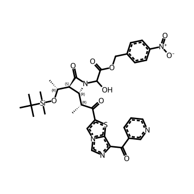 C[C@@H](O[Si](C)(C)C(C)(C)C)[C@H]1C(=O)N(C(O)C(=O)OCc2ccc([N+](=O)[O-])cc2)[C@@H]1[C@@H](C)C(=O)c1cn2cnc(C(=O)c3cccnc3)c2s1